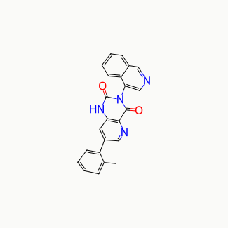 Cc1ccccc1-c1cnc2c(=O)n(-c3cncc4ccccc34)c(=O)[nH]c2c1